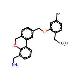 CC(=O)c1ccc(CC(=O)O)c(OCc2ccc3c(c2)-c2cccc(CN)c2OC3)c1